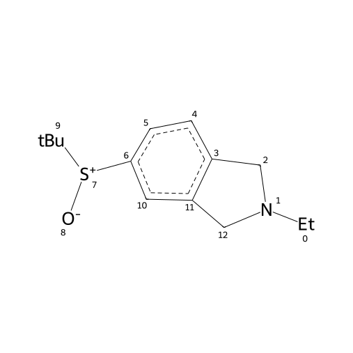 CCN1Cc2ccc([S+]([O-])C(C)(C)C)cc2C1